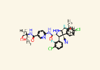 CC(C)(C)C[C@@H]1N[C@@H](C(=O)Nc2ccc(C(=O)NC(C)(C)CO)cn2)[C@H](c2cccc(Cl)c2F)[C@@]1(C#N)c1ccc(Cl)cc1F